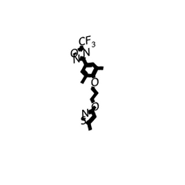 Cc1cc(OCCCOc2c(C)cc(-c3noc(C(F)(F)F)n3)cc2C)ns1